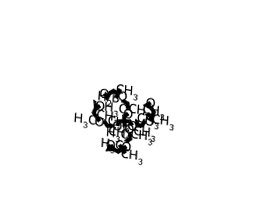 BC(C)(CC1CO1)OCCC(C)(C)OCC(COC(C)(C)CCOC(C)(C)CC1CO1)(COC(C)(C)CCOC(C)(C)CC1CO1)COC(C)(CC)CCOC(C)(CC)CC1CO1